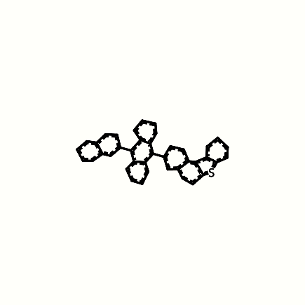 c1ccc2cc(-c3c4ccccc4c(-c4ccc5c(ccc6sc7ccccc7c65)c4)c4ccccc34)ccc2c1